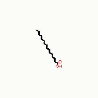 C/C=C/C=C/CCCCCCCCCCC(=O)O